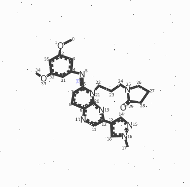 COc1cc(/N=c2\ccc3ncc(-c4cnn(C)c4)nc3n2CCCN2CCCC2=O)cc(OC)c1